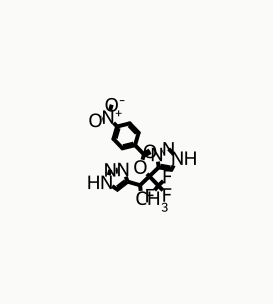 CC(c1c[nH]nn1)C(OC(=O)c1ccc([N+](=O)[O-])cc1)(c1c[nH]nn1)C(F)(F)F